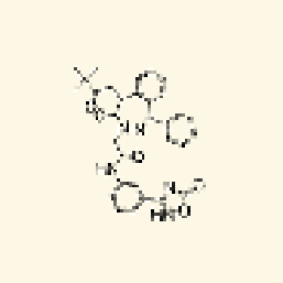 CC(C)(C)C(=O)CC1C(=O)N(CC(=O)Nc2cccc(-c3nc(=O)o[nH]3)c2)N=C(c2ccccc2)c2ccccc21